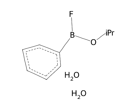 CC(C)OB(F)c1ccccc1.O.O